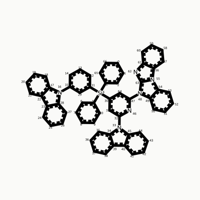 c1ccc([Si](c2ccccc2)(c2cccc(-n3c4ccccc4c4ccccc43)c2)c2cc(-n3c4ccccc4c4ccccc43)nc(-n3c4ccccc4n4c5ccccc5nc34)c2)cc1